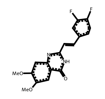 COc1cc2nc(C=Cc3ccc(F)c(F)c3)[nH]c(=O)c2cc1OC